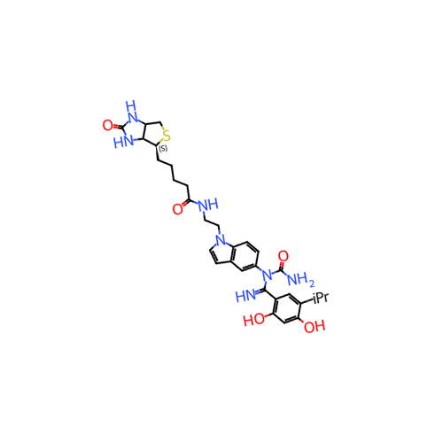 CC(C)c1cc(C(=N)N(C(N)=O)c2ccc3c(ccn3CCNC(=O)CCCC[C@@H]3SCC4NC(=O)NC43)c2)c(O)cc1O